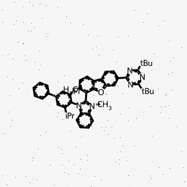 Cc1ccc2c(oc3cc(-c4nc(C(C)(C)C)nc(C(C)(C)C)n4)ccc32)c1-c1n(-c2c(C(C)C)cc(-c3ccccc3)cc2C(C)C)c2ccccc2[n+]1C